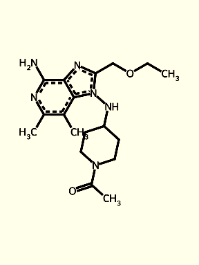 CCOCc1nc2c(N)nc(C)c(C)c2n1NC1CCN(C(C)=O)CC1